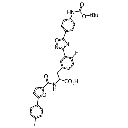 Cc1ccc(-c2ccc(C(=O)NC(Cc3ccc(F)c(-c4noc(-c5ccc(NC(=O)OC(C)(C)C)cc5)n4)c3)C(=O)O)o2)cc1